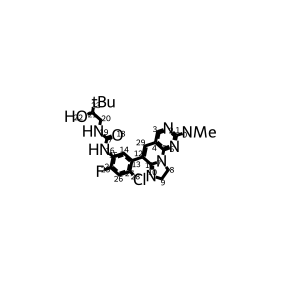 CNc1ncc2c(n1)N1CCN=C1C(c1cc(NC(=O)NCC(O)C(C)(C)C)c(F)cc1Cl)=C2